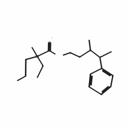 CCCC(C)(CC)C(=O)OCCC(C)C(C)c1ccccc1